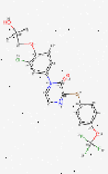 Cc1cc(-n2ccnc(Sc3ccc(OC(F)(F)F)cc3)c2=O)cc(Cl)c1OCC(C)(C)O